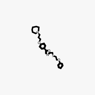 c1ccc(OCCSCc2ncc(-c3ccc(OCCCN4CCCCCCC4)cc3)o2)cc1